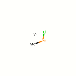 Cl[PH][Mo].[V]